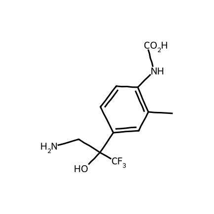 Cc1cc(C(O)(CN)C(F)(F)F)ccc1NC(=O)O